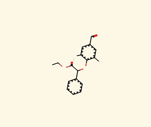 CCOC(=O)C(Oc1c(C)cc(C=O)cc1C)c1ccccc1